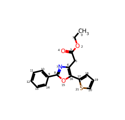 CCOC(=O)Cc1nc(-c2ccccc2)oc1-c1cccs1